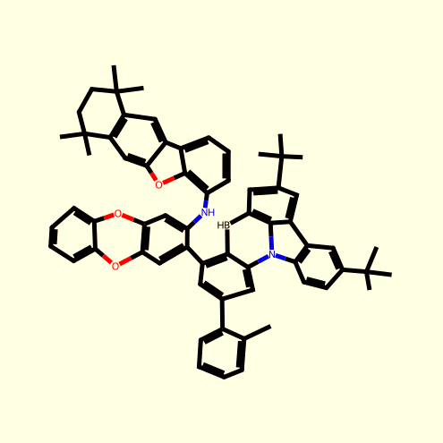 Cc1ccccc1-c1cc(-c2cc3c(cc2Nc2cccc4c2oc2cc5c(cc24)C(C)(C)CCC5(C)C)Oc2ccccc2O3)c2c(c1)-n1c3ccc(C(C)(C)C)cc3c3cc(C(C)(C)C)cc(c31)B2